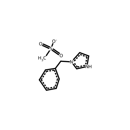 CS(=O)(=O)[O-].c1ccc(C[n+]2cc[nH]c2)cc1